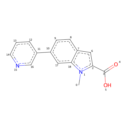 Cn1c(C(=O)O)cc2ccc(-c3cccnc3)cc21